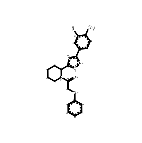 O=C(O)c1ccc(-c2noc(C3CCCCN3C(=O)COc3ccccc3)n2)cc1F